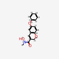 CN(O)C(=O)C1=Cc2cc(Oc3ccccc3)ccc2OC1